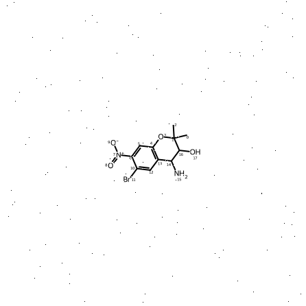 CC1(C)Oc2cc([N+](=O)[O-])c(Br)cc2C(N)C1O